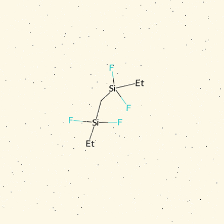 CC[Si](F)(F)C[Si](F)(F)CC